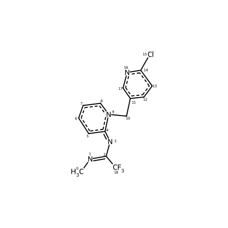 CN=C(/N=c1\ccccn1Cc1ccc(Cl)nc1)C(F)(F)F